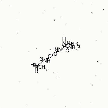 CC1(CCC(=O)NCCOCCOCCNCc2c[nH]c3nc(N)[nH]c(=O)c23)NN1